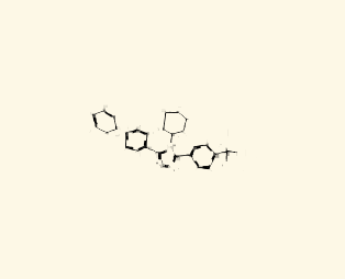 CC(C)(C)c1ccc(-c2nnc(-c3ccc([C@H]4C=CC=CC4)cc3)n2C2CCCCC2)cc1